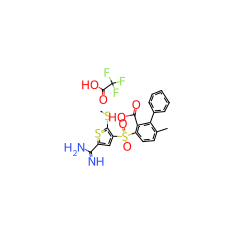 CSc1sc(C(=N)N)cc1S(=O)(=O)c1ccc(C)c(-c2ccccc2)c1C(=O)O.O=C(O)C(F)(F)F